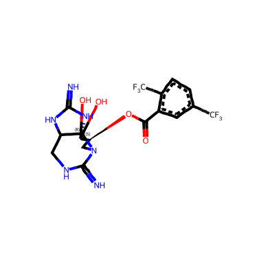 N=C1NC2CNC(=N)N3C[C@H](OC(=O)c4cc(C(F)(F)F)ccc4C(F)(F)F)C(O)(O)[C@@]23N1